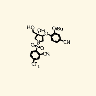 CC(C)COc1cc(C#N)ccc1OC1CN(S(=O)(=O)c2ccc(C(F)(F)F)cc2C#N)C[C@@]1(O)CO